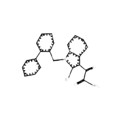 CCc1c(C(=O)C(N)=O)c2[c]cccc2n1Cc1ccccc1-c1ccccc1